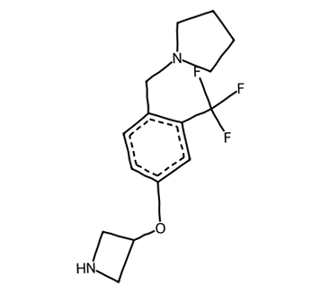 FC(F)(F)c1cc(OC2CNC2)ccc1CN1CCCC1